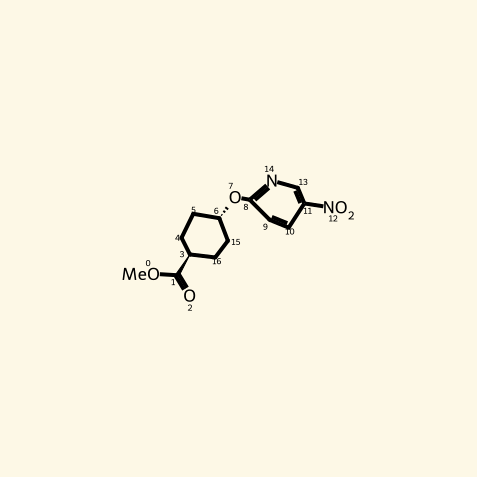 COC(=O)[C@H]1CC[C@H](Oc2ccc([N+](=O)[O-])cn2)CC1